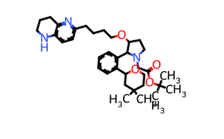 CC1(C)CCOC(c2ccccc2C2C(OCCCCc3ccc4c(n3)CCCN4)CCN2CC(=O)OC(C)(C)C)C1